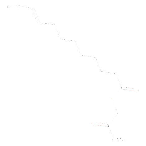 CCCCCCCCC=CCCCCCCCC(=O)SCC(=O)OC